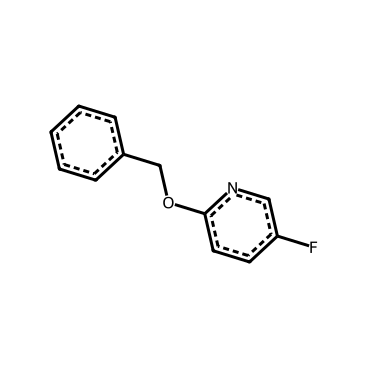 Fc1ccc(OCc2ccccc2)nc1